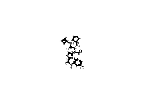 Cc1ncc(Cl)cc1N[C@@H](C)c1ncc(N(C=O)[C@@H](CC2CCCC2)C(=O)NC23CC(C2)C3)s1